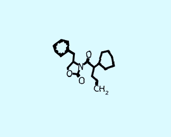 C=CCC(C(=O)N1C(=O)OCC1Cc1ccccc1)C1CCCCC1